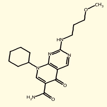 COCCCNc1ncc2c(=O)c(C(N)=O)cn(C3CCCCC3)c2n1